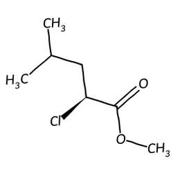 COC(=O)[C@@H](Cl)CC(C)C